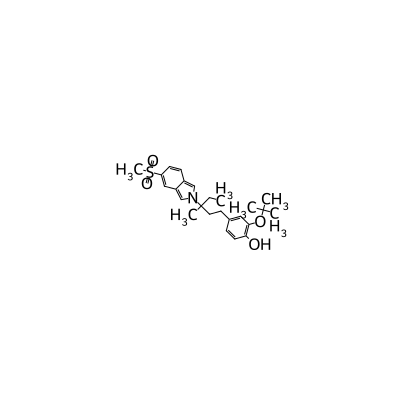 CCC(C)(CCc1ccc(O)c(OC(C)(C)C)c1)n1cc2ccc(S(C)(=O)=O)cc2c1